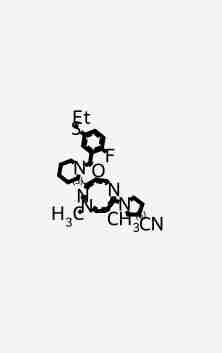 CCSc1ccc(F)c(C(=O)N2CCCC[C@H]2c2ccnc(N3CC[C@H](C#N)C3)c(C)cn(C)n2)c1